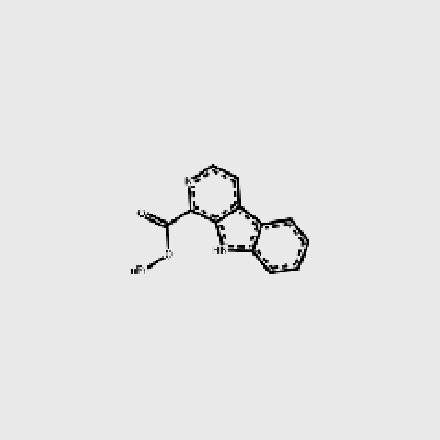 CCCOC(=O)c1nccc2c1[nH]c1ccccc12